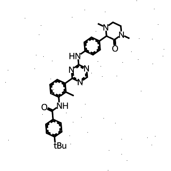 Cc1c(NC(=O)c2ccc(C(C)(C)C)cc2)cccc1-c1ncnc(Nc2ccc(C3C(=O)N(C)CCN3C)cc2)n1